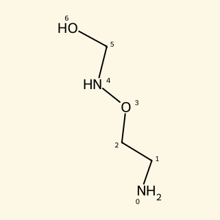 NCCONCO